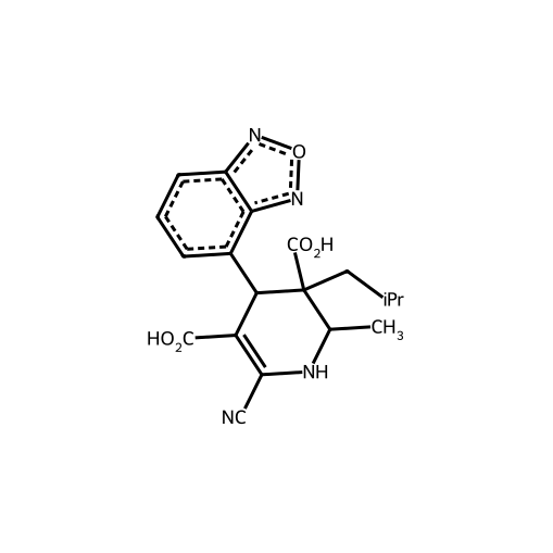 CC(C)CC1(C(=O)O)C(C)NC(C#N)=C(C(=O)O)C1c1cccc2nonc12